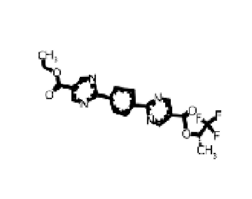 CCOC(=O)c1cnc(-c2ccc(-c3ncc(C(=O)O[C@@H](C)C(F)(F)F)cn3)cc2)nc1